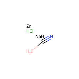 BC#N.Cl.[NaH].[Zn]